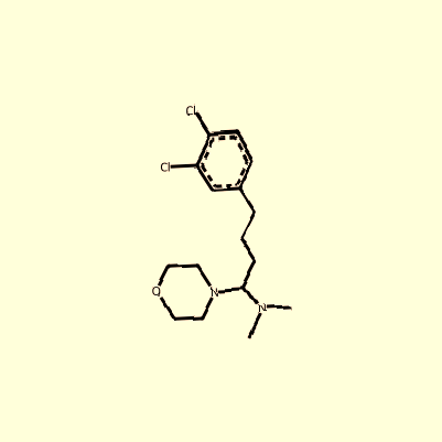 CN(C)C(CCCc1ccc(Cl)c(Cl)c1)N1CCOCC1